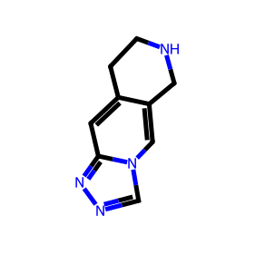 c1c2c(cn3cnnc13)CNCC2